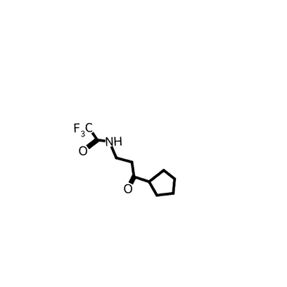 O=C(CCNC(=O)C(F)(F)F)C1CCCC1